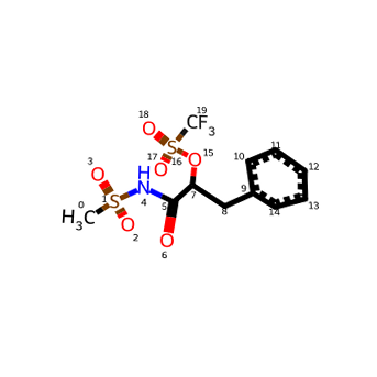 CS(=O)(=O)NC(=O)C(Cc1ccccc1)OS(=O)(=O)C(F)(F)F